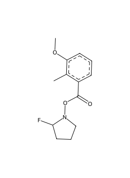 COc1cccc(C(=O)ON2CCCC2F)c1C